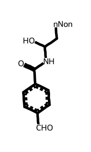 CCCCCCCCCCC(O)NC(=O)c1ccc(C=O)cc1